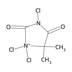 CC1(C)C(=O)N(Cl)C(=O)[N+]1(Cl)Cl